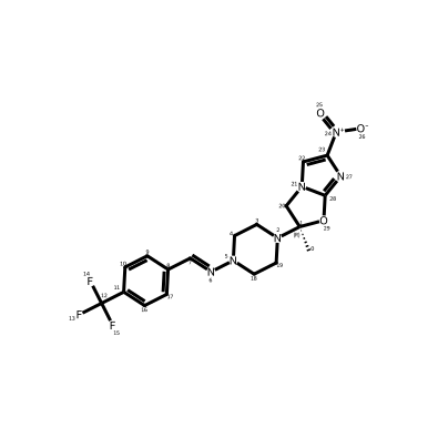 C[C@]1(N2CCN(N=Cc3ccc(C(F)(F)F)cc3)CC2)Cn2cc([N+](=O)[O-])nc2O1